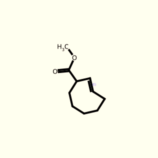 COC(=O)C1/C=C/CCCCC1